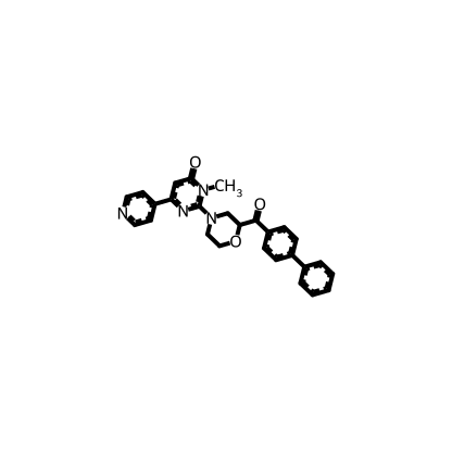 Cn1c(N2CCOC(C(=O)c3ccc(-c4ccccc4)cc3)C2)nc(-c2ccncc2)cc1=O